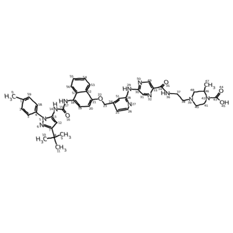 Cc1ccc(-n2nc(C(C)(C)C)cc2NC(=O)Nc2ccc(OCc3ccnc(Nc4cnc(C(=O)NCCN5CCN(C(=O)O)C(C)C5)cn4)c3)c3ccccc23)cc1